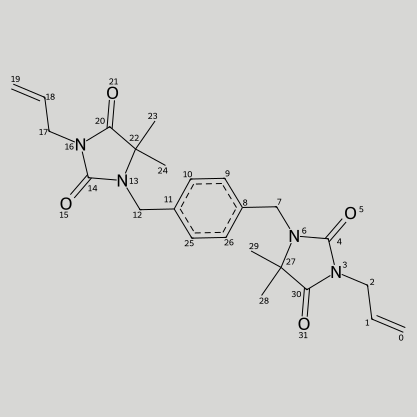 C=CCN1C(=O)N(Cc2ccc(CN3C(=O)N(CC=C)C(=O)C3(C)C)cc2)C(C)(C)C1=O